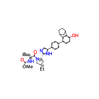 CC[C@H]1C[C@@H](c2ncc(-c3ccc(-c4ccc(O)c5c4C4CCC5C4)cc3)[nH]2)N(C(=O)[C@@H](NC(=O)OC)[C@@H](C)CC)C1